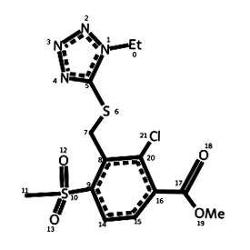 CCn1nnnc1SCc1c(S(C)(=O)=O)ccc(C(=O)OC)c1Cl